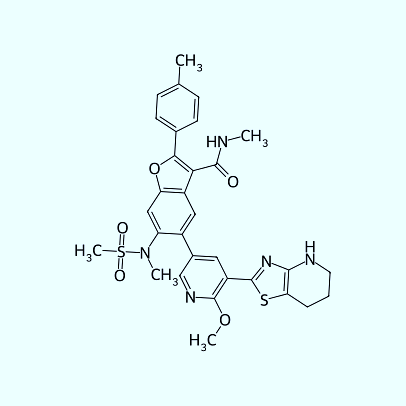 CNC(=O)c1c(-c2ccc(C)cc2)oc2cc(N(C)S(C)(=O)=O)c(-c3cnc(OC)c(-c4nc5c(s4)CCCN5)c3)cc12